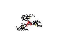 CC(=O)OC[C@H]1S[C@H](CCCOCC(CO)(COCCC[C@H]2S[C@H](COC(C)=O)[C@@H](OC(C)=O)[C@H](OC(C)=O)[C@@H]2OC(C)=O)COCCC[C@H]2S[C@H](COC(C)=O)[C@@H](OC(C)=O)[C@H](OC(C)=O)[C@@H]2OC(C)=O)[C@@H](OC(C)=O)[C@@H](OC(C)=O)[C@@H]1OC(C)=O